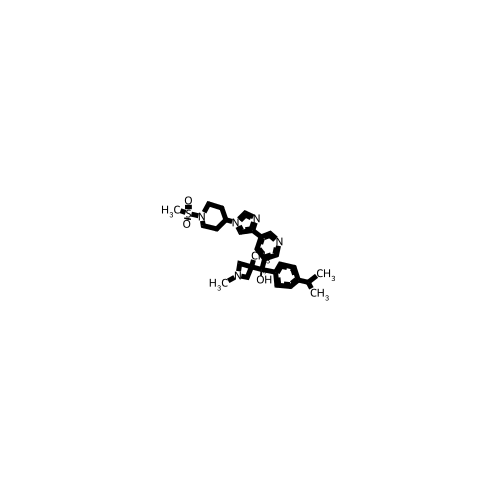 CC(C)c1ccc([C@](O)(c2cncc(-c3cn(C4CCN(S(C)(=O)=O)CC4)cn3)c2)C2(C)CN(C)C2)cc1